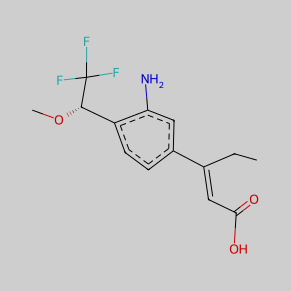 CC/C(=C\C(=O)O)c1ccc([C@H](OC)C(F)(F)F)c(N)c1